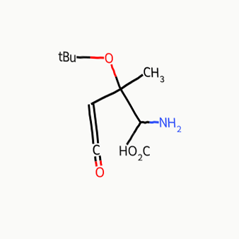 CC(C)(C)OC(C)(C=C=O)C(N)C(=O)O